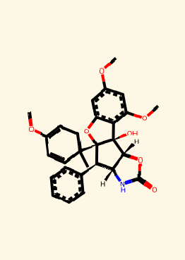 COC1=CCC(C)([C@@]23Oc4cc(OC)cc(OC)c4[C@]2(O)[C@@H]2OC(=O)N[C@@H]2[C@H]3c2ccccc2)C=C1